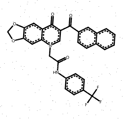 O=C(Cn1cc(C(=O)c2ccc3ccccc3c2)c(=O)c2cc3c(cc21)OCO3)Nc1ccc(C(F)(F)F)cc1